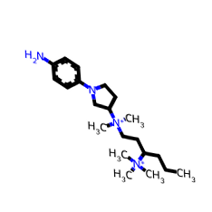 CCCC(CC[N+](C)(C)C1CCN(c2ccc(N)cc2)C1)[N+](C)(C)C